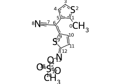 Cc1sccc1C(C#N)=C1C=CC(=NOS(C)(=O)=O)S1